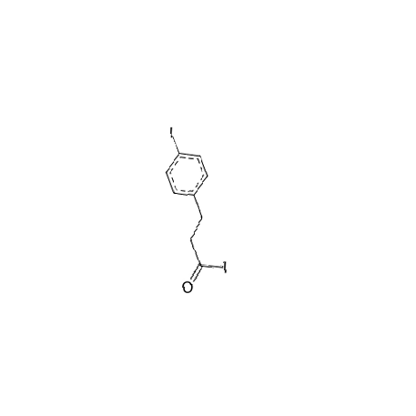 O=C(I)CCc1ccc(I)cc1